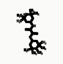 CN1C(C)(C)CC(OC(=O)C(=O)NC2CC(C)(C)NC(C)(C)C2)CC1(C)C